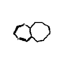 C1=CN=CC2CCCCCCC2N=1